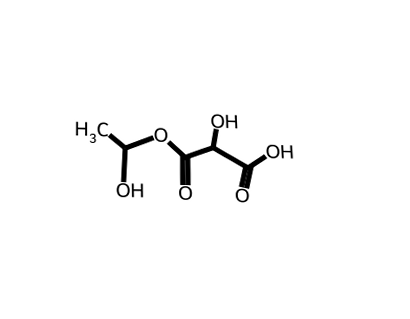 CC(O)OC(=O)C(O)C(=O)O